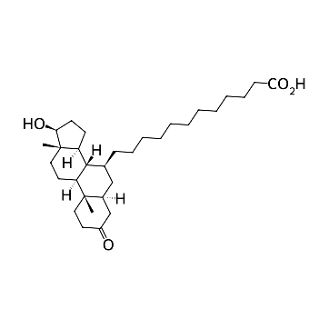 C[C@]12CCC(=O)C[C@@H]1C[C@H](CCCCCCCCCCCC(=O)O)[C@@H]1[C@@H]2CC[C@]2(C)[C@@H](O)CC[C@@H]12